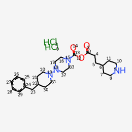 Cl.Cl.O=C(CCC1CCNCC1)OC(=O)N1CCN(N2CCC(Cc3ccccc3)CC2)CC1